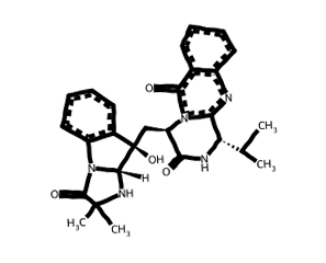 CC(C)[C@@H]1NC(=O)[C@@H](C[C@@]2(O)c3ccccc3N3C(=O)C(C)(C)N[C@H]32)n2c1nc1ccccc1c2=O